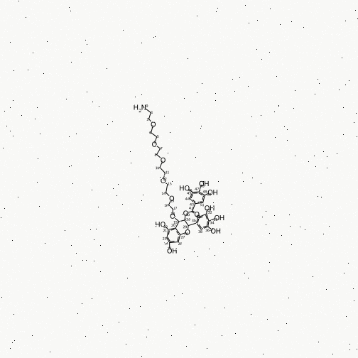 NCCOCCOCCOCCOCCOCCOC1c2c(O)cc(O)cc2OC(c2cc(O)c(O)c(O)c2)C1OC(=O)c1cc(O)c(O)c(O)c1